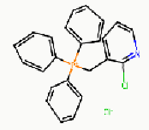 Clc1ncccc1C[P+](c1ccccc1)(c1ccccc1)c1ccccc1.[Cl-]